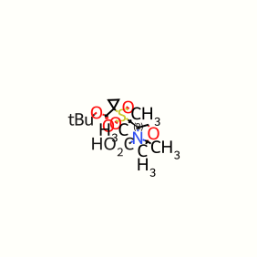 CC(C)(C)OC(=O)C1(S(=O)(=O)C(C)(C)[C@H]2COC(C)(C)N2C(=O)O)CC1